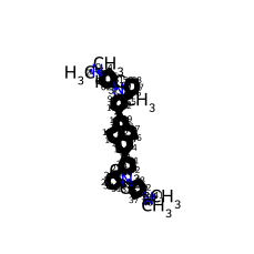 CN(C)c1ccc(N2c3ccc(-c4cc5ccc6cc(-c7ccc8c(c7)C7(C)CCCCC7(C)N8c7ccc(N(C)C)cc7)cc7ccc(c4)c5c67)cc3C3(C)CCCCC23C)cc1